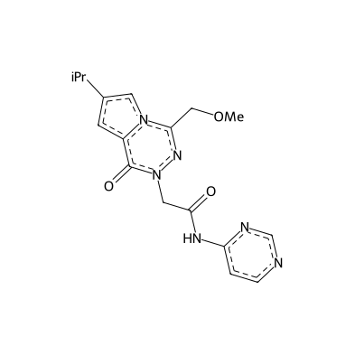 COCc1nn(CC(=O)Nc2ccncn2)c(=O)c2cc(C(C)C)cn12